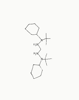 CC(C)(C)N([SiH2]C[SiH2]N(C1CCCCC1)C(C)(C)C)C1CCCCC1